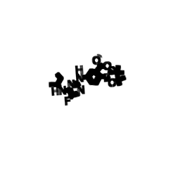 CCC(C)Nc1nc(Nc2ccc(B3OC(C)(C)C(C)(C)O3)c(C(=O)OC)c2)ncc1F